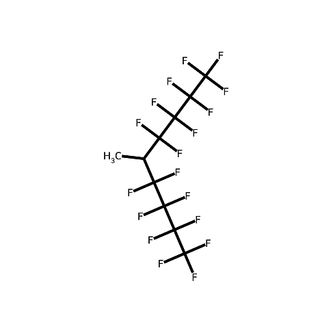 CC(C(F)(F)C(F)(F)C(F)(F)C(F)(F)F)C(F)(F)C(F)(F)C(F)(F)C(F)(F)F